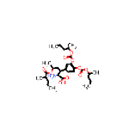 CCCC(C)OC(=O)Oc1ccc(C(CC(C)OC(=O)C(C)CCC)[C@H](N)C(=O)O)cc1OC(=O)OC(C)CCC